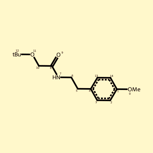 COc1ccc(CCNC(=O)COC(C)(C)C)cc1